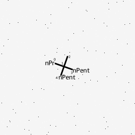 C[CH]CC(C)(CCCCC)CCCCC